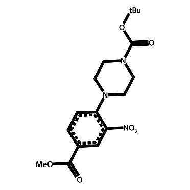 COC(=O)c1ccc(N2CCN(C(=O)OC(C)(C)C)CC2)c([N+](=O)[O-])c1